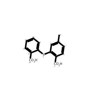 Cc1ccc(C(=O)O)c(Sc2ccccc2C(=O)O)c1